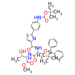 COC(=O)C(NC(=O)C(CO[Si](c1ccccc1)(c1ccccc1)C(C)(C)C)NC(=O)c1csc(-c2ccc(NC(=O)OC(C)(C)C)cc2)n1)C(C)O